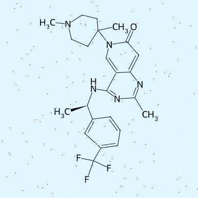 Cc1nc(N[C@H](C)c2cccc(C(F)(F)F)c2)c2cn(C3(C)CCN(C)CC3)c(=O)cc2n1